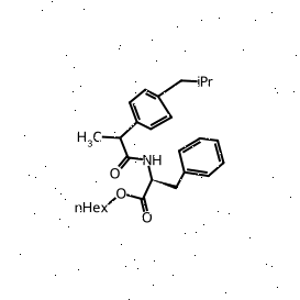 CCCCCCOC(=O)[C@H](Cc1ccccc1)NC(=O)C(C)c1ccc(CC(C)C)cc1